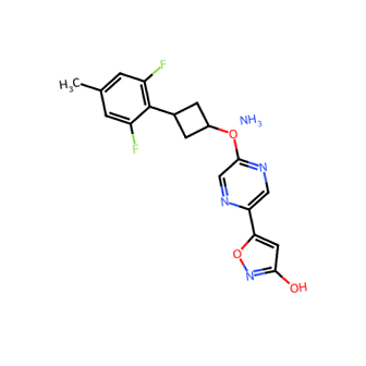 Cc1cc(F)c(C2CC(Oc3cnc(-c4cc(O)no4)cn3)C2)c(F)c1.N